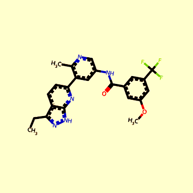 CCc1n[nH]c2nc(-c3cc(NC(=O)c4cc(OC)cc(C(F)(F)F)c4)cnc3C)ccc12